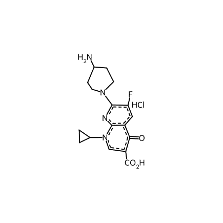 Cl.NC1CCN(c2nc3c(cc2F)c(=O)c(C(=O)O)cn3C2CC2)CC1